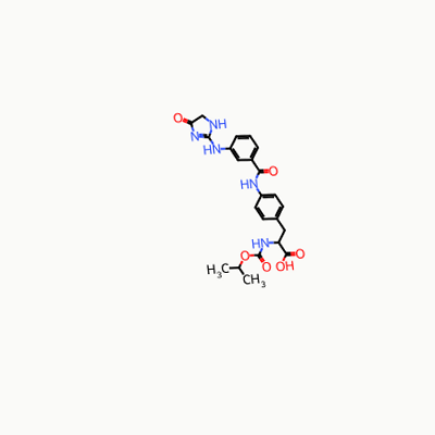 CC(C)OC(=O)NC(Cc1ccc(NC(=O)c2cccc(NC3=NC(=O)CN3)c2)cc1)C(=O)O